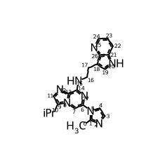 Cc1nccn1-c1cn2c(C(C)C)cnc2c(NCCc2c[nH]c3cccnc23)n1